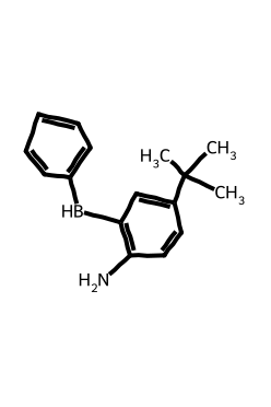 CC(C)(C)c1ccc(N)c(Bc2ccccc2)c1